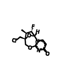 C[C@H]1[C@H](F)[C@H]2O[C@]1(CCl)COc1nc(=O)ccn12